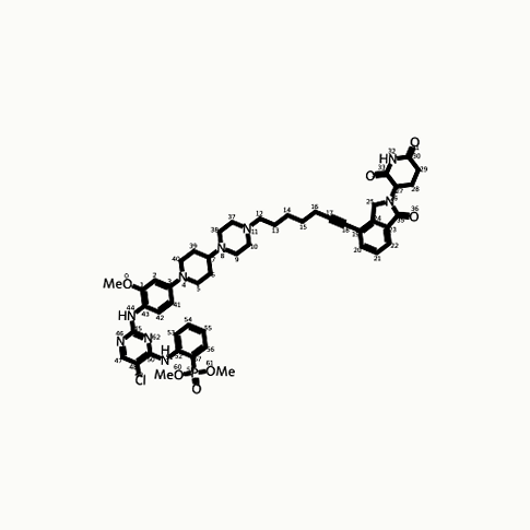 COc1cc(N2CCC(N3CCN(CCCCCC#Cc4cccc5c4CN(C4CCC(=O)NC4=O)C5=O)CC3)CC2)ccc1Nc1ncc(Cl)c(Nc2ccccc2P(=O)(OC)OC)n1